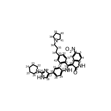 O=C1Nc2ccc([N+](=O)[O-])cc2/C1=C(/Nc1ccc(-c2c[nH]c(N3CCCCC3)n2)cc1)c1ccc(CCCN2CCCC2)cc1